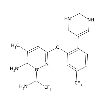 CC1=CC(Oc2cc(C(F)(F)F)ccc2C2=CNCNC2)=NN(C(N)C(F)(F)F)C1N